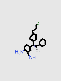 CC/C(=C(/c1ccc(CCCCl)cc1)c1ccc(N)c(C=N)c1)c1ccccc1